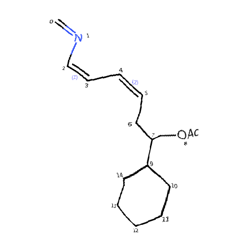 C=N/C=C\C=C/CC(OC(C)=O)C1CCCCC1